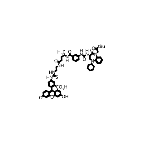 C[C@H](CCC(=O)NCCNC(=S)Nc1ccc(-c2c3ccc(=O)cc-3oc3cc(O)ccc23)c(C(=O)O)c1)NC(=O)c1cccc(NC(=O)N[C@@H]2CN(C3CCCCC3)c3ccccc3N(CC(=O)C(C)(C)C)C2=O)c1